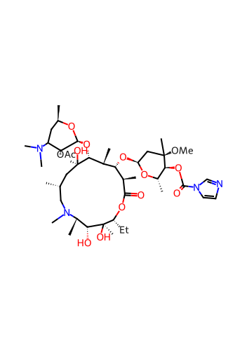 CC[C@H]1OC(=O)[C@H](C)[C@@H](O[C@H]2C[C@@](C)(OC)[C@@H](OC(=O)n3ccnc3)[C@H](C)O2)[C@H](C)[C@@H](O[C@@H]2O[C@H](C)CC(N(C)C)[C@H]2OC(C)=O)[C@](C)(O)C[C@@H](C)CN(C)[C@H](C)[C@@H](O)[C@]1(C)O